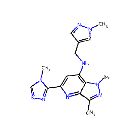 Cc1nn(C(C)C)c2c(NCc3cnn(C)c3)cc(-c3nncn3C)nc12